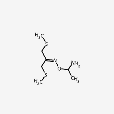 CSCC(CSC)=NOC(C)N